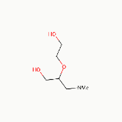 CNCC(CO)OCCO